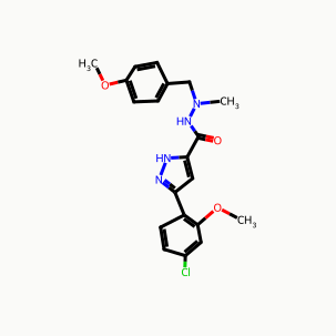 COc1ccc(CN(C)NC(=O)c2cc(-c3ccc(Cl)cc3OC)n[nH]2)cc1